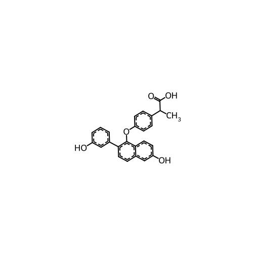 CC(C(=O)O)c1ccc(Oc2c(-c3cccc(O)c3)ccc3cc(O)ccc23)cc1